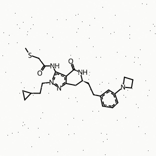 CSCC(=O)Nc1c2c(nn1CCC1CC1)C[C@H](CCc1cccc(N3CCC3)c1)NC2=O